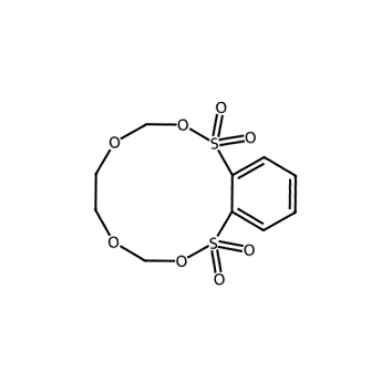 O=S1(=O)OCOCCOCOS(=O)(=O)c2ccccc21